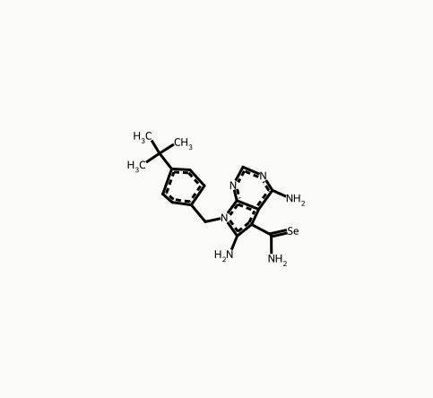 CC(C)(C)c1ccc(Cn2c(N)c(C(N)=[Se])c3c(N)ncnc32)cc1